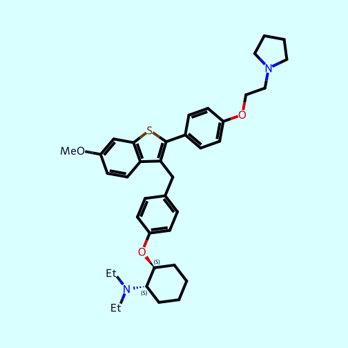 CCN(CC)[C@H]1CCCC[C@@H]1Oc1ccc(Cc2c(-c3ccc(OCCN4CCCC4)cc3)sc3cc(OC)ccc23)cc1